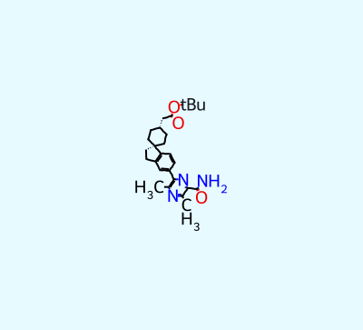 Cc1nc(C)c(-c2ccc3c(c2)CC[C@]32CC[C@@H](CC(=O)OC(C)(C)C)CC2)nc1C(N)=O